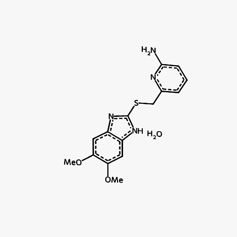 COc1cc2nc(SCc3cccc(N)n3)[nH]c2cc1OC.O